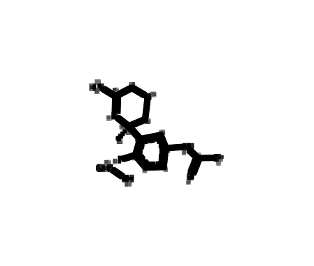 CC(C)C(=O)Nc1ccc(F)c([C@]2(C)COCC(N)=N2)c1.O=CO